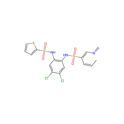 C=N/C=C(\C=C/C)S(=O)(=O)Nc1cc(Cl)c(Cl)cc1NS(=O)(=O)c1cccs1